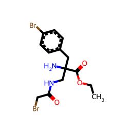 CCOC(=O)C(N)(CNC(=O)CBr)Cc1ccc(Br)cc1